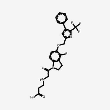 O=C(O)CCNCC(=O)N1CCc2c1ccc(OCc1cc(-c3ccccc3)c(C(F)(F)F)s1)c2F